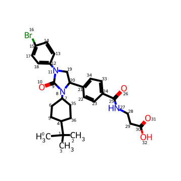 CC(C)(C)C1CCC(N2C(=O)N(c3ccc(Br)cc3)CC2c2ccc(C(=O)NCCC(=O)O)cc2)CC1